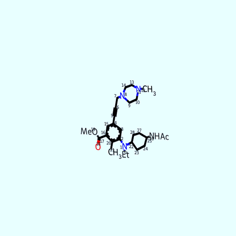 CCN(c1cc(C#CCN2CCN(C)CC2)cc(C(=O)OC)c1C)C1CCC(NC(C)=O)CC1